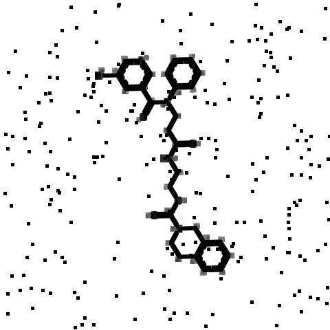 O=C(CCN(C(=O)c1cncc(Br)c1)c1ccccc1)NCCOC(=O)N1CCc2ccccc2C1